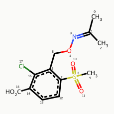 CC(C)=NOCc1c(S(C)(=O)=O)ccc(C(=O)O)c1Cl